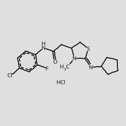 CN1C(=NC2CCCC2)SCC1CC(=O)Nc1ccc(Cl)cc1F.Cl